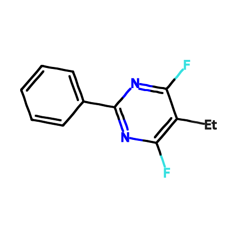 CCc1c(F)nc(-c2ccccc2)nc1F